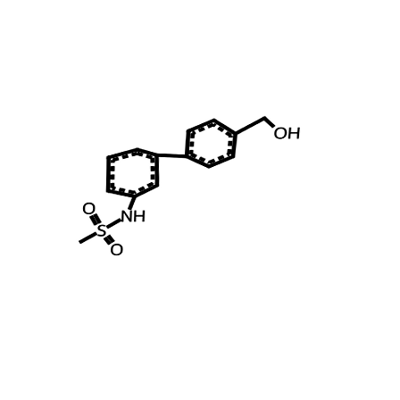 CS(=O)(=O)Nc1cccc(-c2ccc(CO)cc2)c1